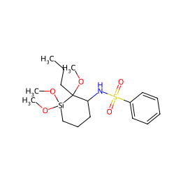 CCCC1(OC)C(NS(=O)(=O)c2ccccc2)CCC[Si]1(OC)OC